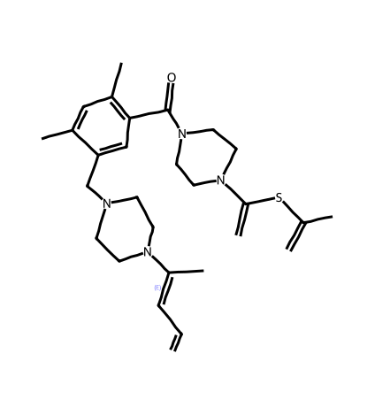 C=C/C=C(\C)N1CCN(Cc2cc(C(=O)N3CCN(C(=C)SC(=C)C)CC3)c(C)cc2C)CC1